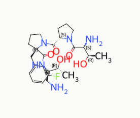 C[C@@H](O)[C@H](N)C(=O)N1CCC[C@H]1C(=O)N1CCC[C@@]1(Cc1cccc(F)c1)C(=O)N[C@H](CN)[C@@H](C)O